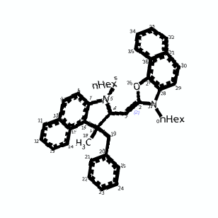 CCCCCCN1/C(=C/C2N(CCCCCC)c3ccc4ccccc4c3C2(C)Cc2ccccc2)Oc2c1ccc1ccccc21